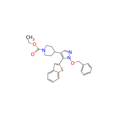 CCOC(=O)N1CCC(c2cnn(OCc3ccccc3)c2-c2cc3ccccc3s2)CC1